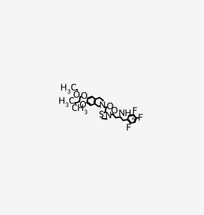 CCOC(=O)C(Oc1ccc2c(c1)CN(C(=O)C1SCCN1C(=O)CC(N)Cc1cc(F)c(F)cc1F)CC2)C(C)C